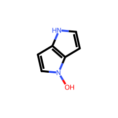 On1ccc2[nH]ccc21